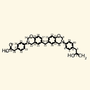 C=C(O)Cc1ccc(N2COc3ccc(Cc4ccc5c(c4)CN(c4ccc(CC(=O)O)cc4)CO5)cc3C2)cc1